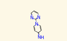 N=c1ccn(-c2ncccn2)cc1